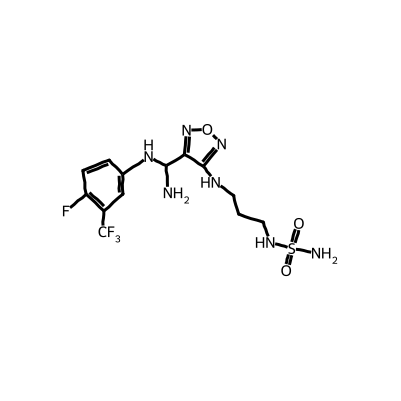 NC(Nc1ccc(F)c(C(F)(F)F)c1)c1nonc1NCCCNS(N)(=O)=O